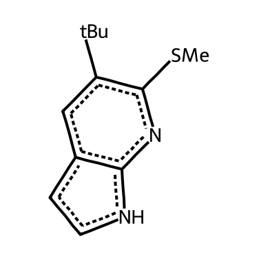 CSc1nc2[nH]ccc2cc1C(C)(C)C